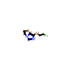 FCCSc1ncn2ccsc12